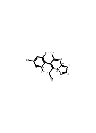 Fc1cc(F)c(-c2c(Cl)nc3ncnn3c2CBr)c(F)c1